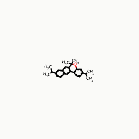 CC(C)c1ccc2c(c1)OC(C)(C)c1cc3cc(C(C)C)ccc3cc1-2